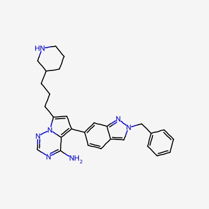 Nc1ncnn2c(CCCC3CCCNC3)cc(-c3ccc4cn(Cc5ccccc5)nc4c3)c12